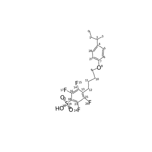 CCC(C)c1ccc(OCCCCc2c(F)c(F)c(S(=O)(=O)O)c(F)c2F)cc1